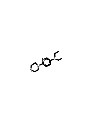 CCN(CC)c1ccc(N2CCNCC2)nc1